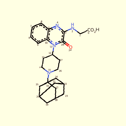 O=C(O)CNc1nc2ccccc2n(C2CCN(C34CC5CC(CC(C5)C3)C4)CC2)c1=O